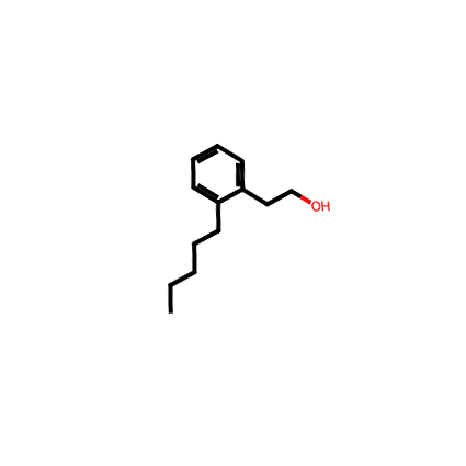 CCCCCc1ccccc1CCO